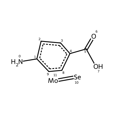 Nc1ccc(C(=O)O)cc1.[Se]=[Mo]